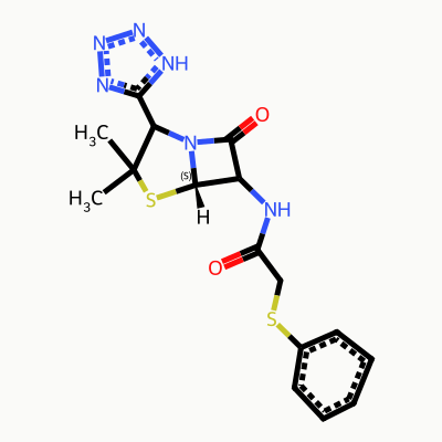 CC1(C)S[C@H]2C(NC(=O)CSc3ccccc3)C(=O)N2C1c1nnn[nH]1